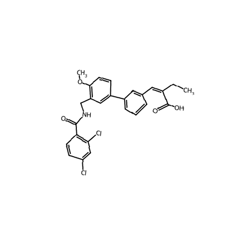 CCC(=Cc1cccc(-c2ccc(OC)c(CNC(=O)c3ccc(Cl)cc3Cl)c2)c1)C(=O)O